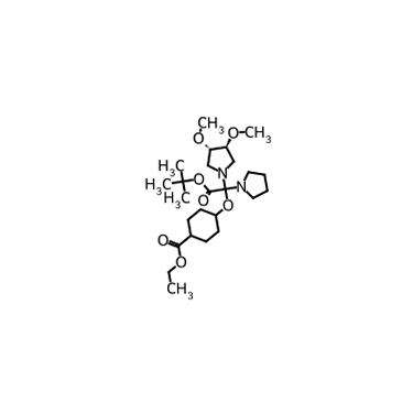 CCOC(=O)C1CCC(OC(C(=O)OC(C)(C)C)(N2CCCC2)N2C[C@H](OC)[C@@H](OC)C2)CC1